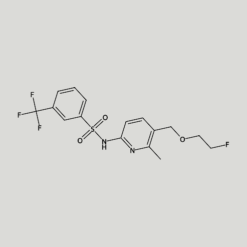 Cc1nc(NS(=O)(=O)c2cccc(C(F)(F)F)c2)ccc1COCCF